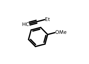 C#CCC.COc1ccccc1